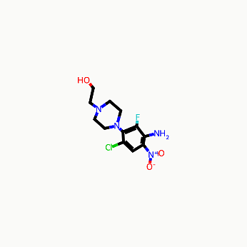 Nc1c([N+](=O)[O-])cc(Cl)c(N2CCN(CCO)CC2)c1F